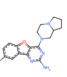 Nc1nc(N2CCN3CCCC3C2)c2oc3ccc(Br)cc3c2n1